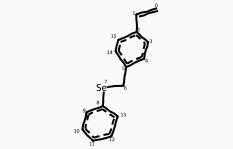 C=Cc1ccc(C[Se]c2ccccc2)cc1